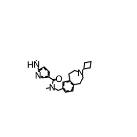 CNc1ccc(C(=O)N(C)Cc2ccc3c(c2)CCN(C2CCC2)CC3)cn1